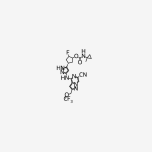 CC1(NC(=O)O[C@H]2C[C@@H](c3cc(Nc4nc(C#N)cn5nc(COC(F)(F)F)cc45)n[nH]3)C[C@H]2F)CC1